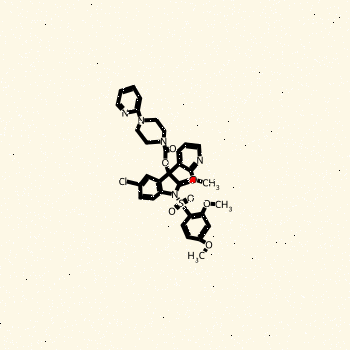 COc1ccc(S(=O)(=O)N2C(=O)C(OC(=O)N3CCN(c4ccccn4)CC3)(c3cccnc3OC)c3cc(Cl)ccc32)c(OC)c1